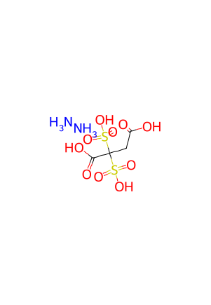 N.N.O=C(O)CC(C(=O)O)(S(=O)(=O)O)S(=O)(=O)O